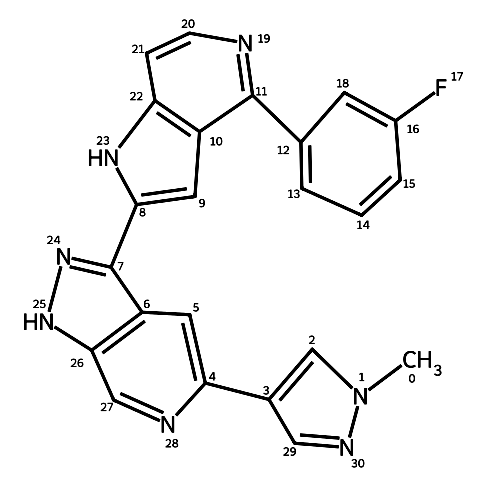 Cn1cc(-c2cc3c(-c4cc5c(-c6cccc(F)c6)nccc5[nH]4)n[nH]c3cn2)cn1